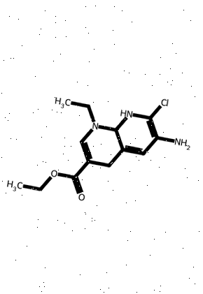 CCOC(=O)C1=CN(CC)C2NC(Cl)=C(N)C=C2C1